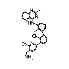 CCc1nc(-c2cccc(-c3cccc(Nc4nc(C)nc5cccnc45)c3C)c2Cl)ccc1CN